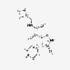 O=C(NCC1CCC1)C(=O)C1CNC(=O)[C@@H]1c1ccccc1